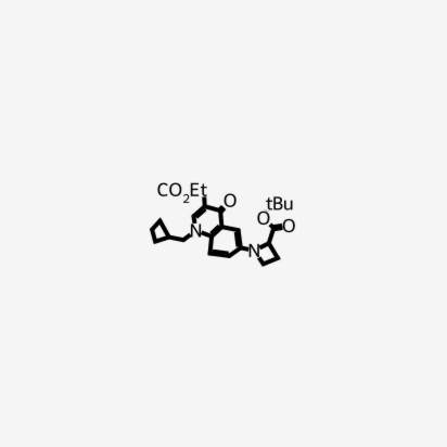 CCOC(=O)c1cn(CC2CCC2)c2ccc(N3CCC3C(=O)OC(C)(C)C)cc2c1=O